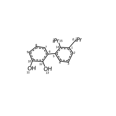 CC(C)c1cccc(-c2cccc(O)c2O)c1C(C)C